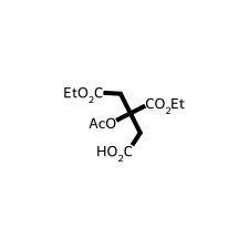 CCOC(=O)CC(CC(=O)O)(OC(C)=O)C(=O)OCC